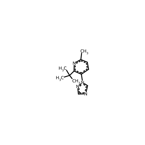 Cc1ccc(-n2cncn2)c(C(C)(C)C)n1